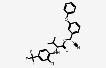 CC(C)[C@H](Nc1ccc(C(F)(F)F)cc1Cl)C(=O)O[C@@H](C#N)c1cccc(Oc2ccccc2)c1